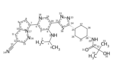 CC(C)Nc1cc(-c2ccc3cc(C#N)cnn23)ncc1-c1nnc([C@H]2CC[C@@H](NC(=O)C(C)(C)O)CC2)s1